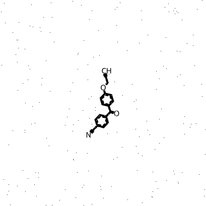 C#CCOc1ccc(C(=O)c2ccc(C#N)cc2)cc1